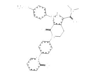 COc1ccc(-n2nc(C(=O)N(C)C)c3c2C(=O)N(c2ccc(-n4ccccc4=O)cc2)CC3)cc1